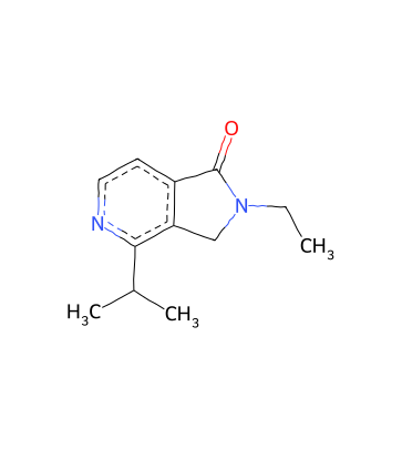 CCN1Cc2c(ccnc2C(C)C)C1=O